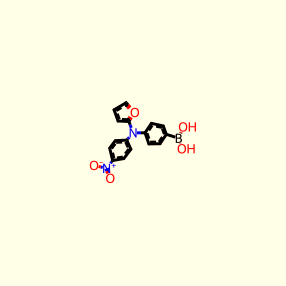 O=[N+]([O-])c1ccc(N(c2ccc(B(O)O)cc2)c2ccco2)cc1